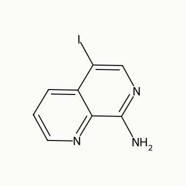 Nc1ncc(I)c2cccnc12